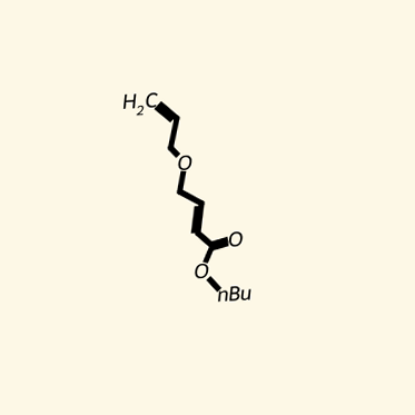 C=CCOCC=CC(=O)OCCCC